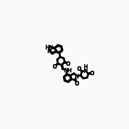 O=C1CCC(N2Cc3c(NC=C4C(=O)CC(c5cccc6[nH]ncc56)CC4=O)cccc3C2=O)C(=O)N1